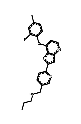 CCCNCc1ccc(-c2cc3nccc(Oc4ccc(C)cc4F)c3s2)nc1